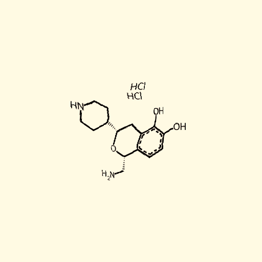 Cl.Cl.NC[C@@H]1O[C@H](C2CCNCC2)Cc2c1ccc(O)c2O